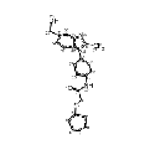 O=C(CSc1ccccc1)Nc1ccc(-n2c(C(F)(F)F)nc3cc(CO)ccc32)cc1